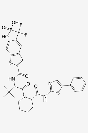 CC(C)(C)C(NC(=O)c1cc2cc(C(F)(F)P(=O)(O)O)ccc2s1)C(=O)N1CCCC[C@H]1C(=O)Nc1ncc(-c2ccccc2)s1